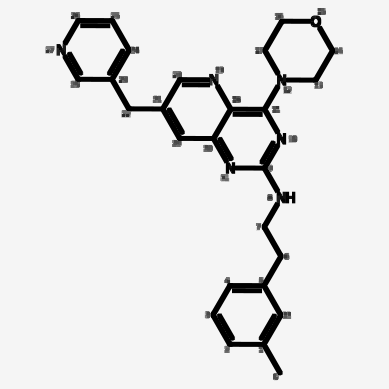 Cc1cccc(CCNc2nc(N3CCOCC3)c3ncc(Cc4cccnc4)cc3n2)c1